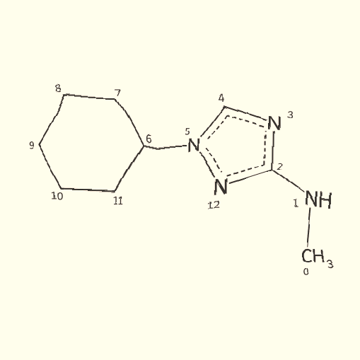 CNc1ncn(C2CCCCC2)n1